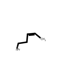 [CH2]CCCC/C=C\C